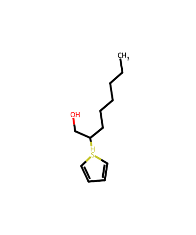 CCCCCCC(CO)[SH]1C=CC=C1